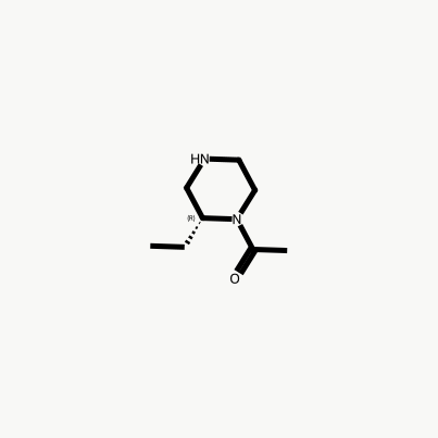 CC[C@@H]1CNCCN1C(C)=O